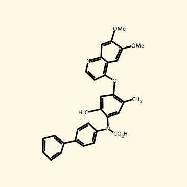 COc1cc2nccc(Oc3cc(C)c(N(C(=O)O)c4ccc(-c5ccccc5)cc4)cc3C)c2cc1OC